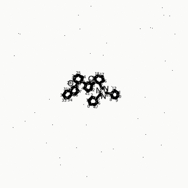 c1ccc(-c2nc(-c3ccccc3)nc(-c3cccc4oc5c(-c6cccc7oc8c9ccccc9ccc8c67)cccc5c34)n2)cc1